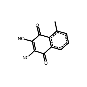 Cc1cccc2c1C(=O)C(C#N)=C(C#N)C2=O